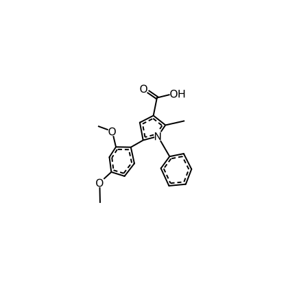 COc1ccc(-c2cc(C(=O)O)c(C)n2-c2ccccc2)c(OC)c1